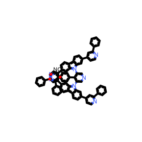 N#Cc1cccc(-c2c(-n3c4cc(-c5ccnc(-c6ccccc6)c5)ccc4c4ccc(-c5ccnc(-c6ccccc6)c5)cc43)cncc2-n2c3cc(-c4ccnc(-c5ccccc5)c4)ccc3c3ccc(-c4ccnc(-c5ccccc5)c4)cc32)c1